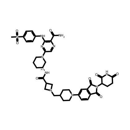 CS(=O)(=O)c1ccc(Nc2nc(N3CCC[C@@H](NC(=O)C4CN(CC5CCN(c6ccc7c(c6)C(=O)N(C6CCC(=O)NC6=O)C7=O)CC5)C4)C3)cnc2C(N)=O)cc1